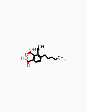 C#Cc1c(CCCCC)ccc(C(=O)O)c1C(=O)O